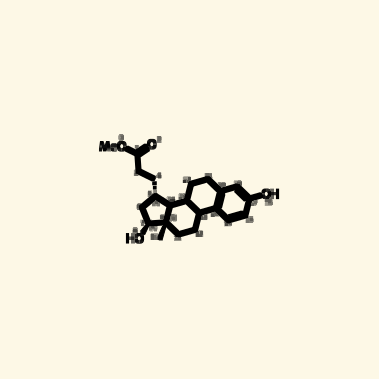 COC(=O)CC[C@H]1C[C@H](O)[C@@]2(C)CCC3c4ccc(O)cc4CCC3C12